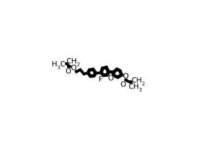 C=C(C)C(=O)OCCCc1ccc(-c2ccc3c(oc4cc(OC(=O)C(=C)C)ccc43)c2F)cc1